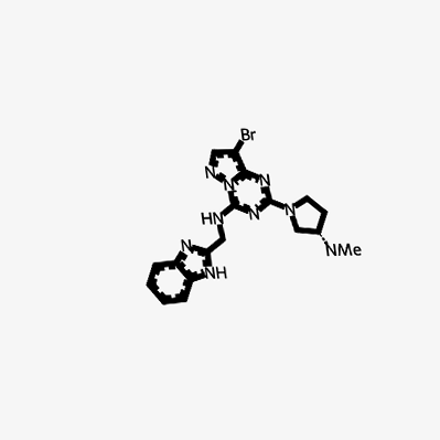 CN[C@H]1CCN(c2nc(NCc3nc4ccccc4[nH]3)n3ncc(Br)c3n2)C1